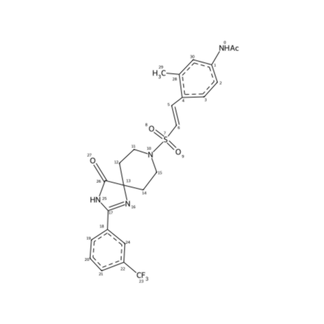 CC(=O)Nc1ccc(C=CS(=O)(=O)N2CCC3(CC2)N=C(c2cccc(C(F)(F)F)c2)NC3=O)c(C)c1